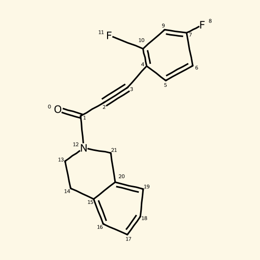 O=C(C#Cc1ccc(F)cc1F)N1CCc2ccccc2C1